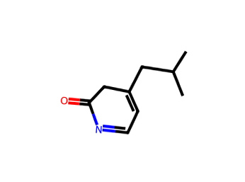 CC(C)CC1=CC=NC(=O)C1